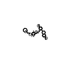 COc1ccc2c(c1)CCC(c1ccc(OC)cc1CNCc1ccc(OCCN3CCCCCC3)nc1)C2